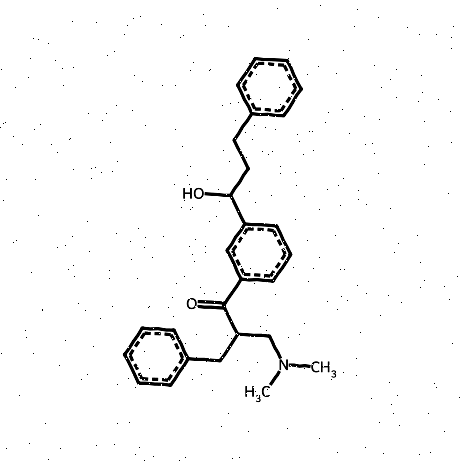 CN(C)CC(Cc1ccccc1)C(=O)c1cccc(C(O)CCc2ccccc2)c1